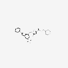 Cc1cc(C(=O)NCC2CCNCC2)nn1Cc1cc(S(C)(=O)=O)cc2cc(-c3ccccc3)oc12.Cl